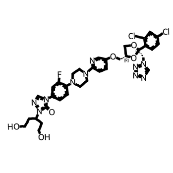 O=c1n(-c2ccc(N3CCN(c4ccc(OC[C@@H]5CO[C@@](Cn6cnnn6)(c6ccc(Cl)cc6Cl)O5)cn4)CC3)c(F)c2)cnn1C(CCO)CCO